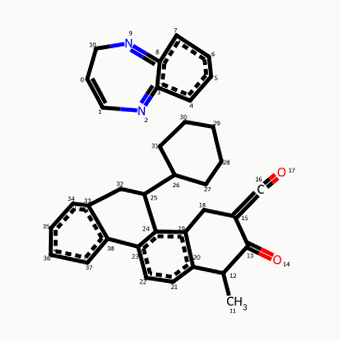 C1=CN=c2ccccc2=NC1.CC1C(=O)C(=C=O)Cc2c1ccc1c2C(C2CCCCC2)Cc2ccccc2-1